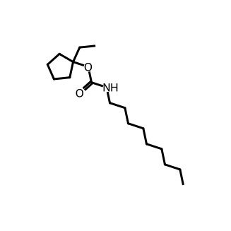 CCCCCCCCCNC(=O)OC1(CC)CCCC1